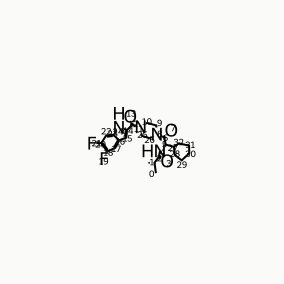 C[CH]C(=O)N[C@H](C(=O)N1CCN(C(=O)c2cc3cc(F)c(F)cc3[nH]2)CC1)C1CCCCC1